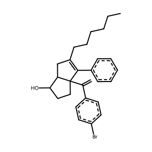 C=C(c1ccc(Br)cc1)C12CCC(O)C1CC(CCCCCC)=C2c1ccccc1